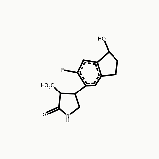 O=C(O)C1C(=O)NCC1c1cc2c(cc1F)C(O)CC2